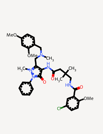 COc1ccc(CN(C)Cc2c(NC(=O)CC(C)(C)CNC(=O)c3cc(Cl)ccc3OC)c(=O)n(-c3ccccc3)n2C)c(OC)c1